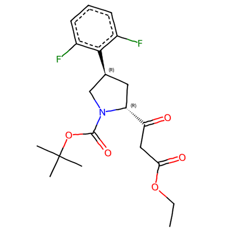 CCOC(=O)CC(=O)[C@H]1C[C@H](c2c(F)cccc2F)CN1C(=O)OC(C)(C)C